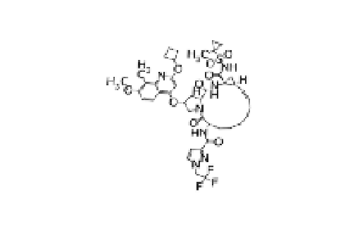 COc1ccc2c(O[C@@H]3C[C@H]4C(=O)N[C@]5(C(=O)NS(=O)(=O)C6(C)CC6)C[C@H]5/C=C\CCCCC[C@H](NC(=O)c5ccn(CC(F)(F)F)n5)C(=O)N4C3)cc(OC3CCC3)nc2c1C